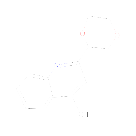 Cc1cc(C2COCCO2)nc2ccccc12